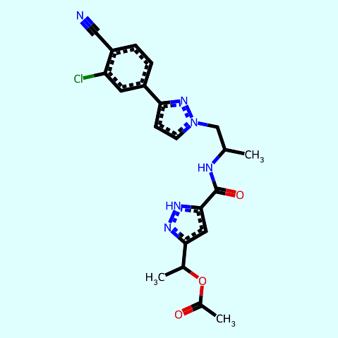 CC(=O)OC(C)c1cc(C(=O)NC(C)Cn2ccc(-c3ccc(C#N)c(Cl)c3)n2)[nH]n1